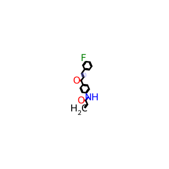 C=CC(=O)Nc1ccc(C(=O)/C=C/c2cccc(F)c2)cc1